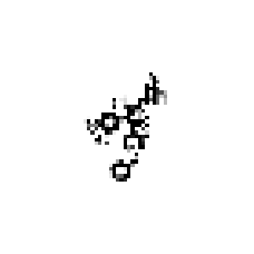 CCC(C)(C)NCc1nc2sc3c(c2c(-c2ccc(OC)c(OC)c2)c1Cl)CCN(Cc1ccccc1)C3